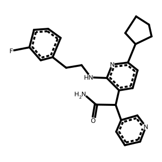 NC(=O)C(c1cccnc1)c1ccc(C2CCCC2)nc1NCCc1cccc(F)c1